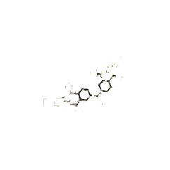 O=C(c1ccc(C(=O)OCC(F)(F)F)c(C(=O)Cl)c1)c1ccc(C(=O)OCC(F)(F)F)c(C(=O)Cl)c1